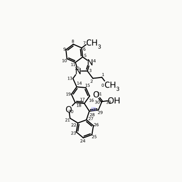 CCCc1nc2c(C)cccc2n1Cc1ccc2c(c1)OCc1ccccc1/C2=C/C(=O)O